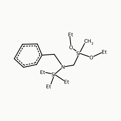 CCO[Si](C)(CN(Cc1ccccc1)[Si](CC)(CC)CC)OCC